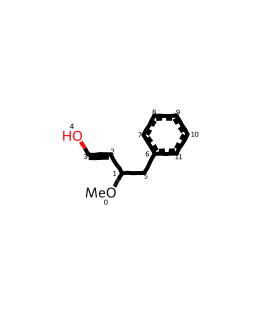 COC(C=CO)Cc1ccccc1